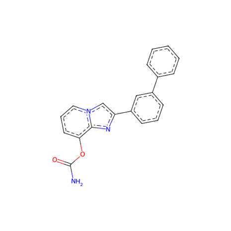 NC(=O)Oc1cccn2cc(-c3cccc(-c4ccccc4)c3)nc12